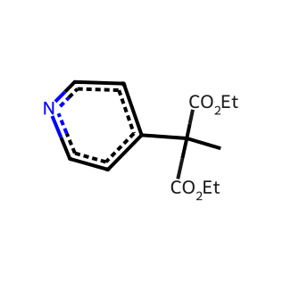 CCOC(=O)C(C)(C(=O)OCC)c1ccncc1